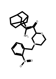 NC(=O)C12CC3CC(C1)C(NC(=O)C1CN(Cc4ccccc4[N+](=O)[O-])CCO1)C(C3)C2